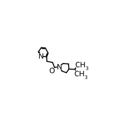 CC(C)C1CCN(C(=O)CCc2ccccn2)CC1